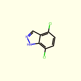 Clc1ccc(Cl)c2[nH]ncc12